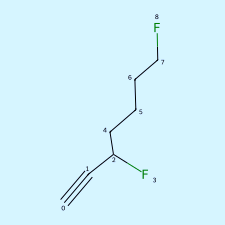 C#CC(F)CCCCF